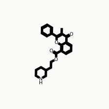 Cc1c(-c2ccccc2)oc2c(C(=O)OCCC3CCCNC3)cccc2c1=O